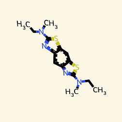 CCN(C)c1nc2cc3nc(N(C)CC)sc3cc2s1